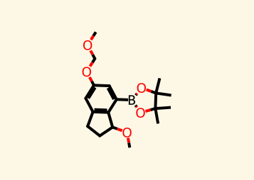 COCOc1cc2c(c(B3OC(C)(C)C(C)(C)O3)c1)C(OC)CC2